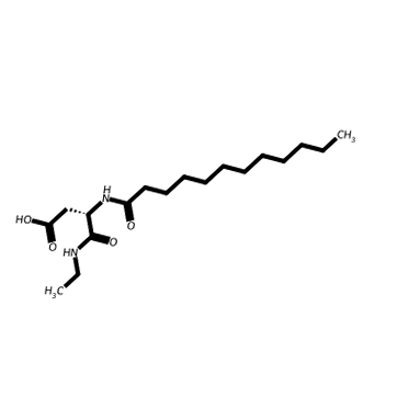 CCCCCCCCCCCC(=O)N[C@@H](CC(=O)O)C(=O)NCC